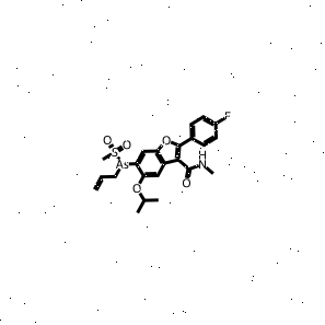 C=CC[As](c1cc2oc(-c3ccc(F)cc3)c(C(=O)NC)c2cc1OC(C)C)S(C)(=O)=O